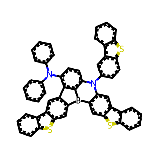 c1ccc(N(c2ccccc2)c2ccc3c4c2-c2cc5c(cc2B4c2cc4sc6ccccc6c4cc2N3c2ccc3sc4ccccc4c3c2)sc2ccccc25)cc1